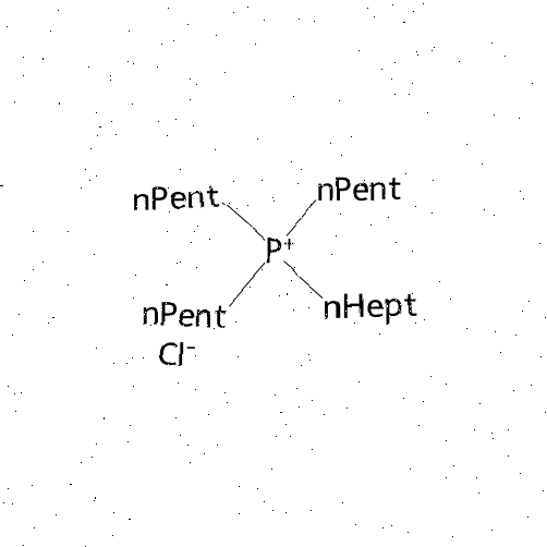 CCCCCCC[P+](CCCCC)(CCCCC)CCCCC.[Cl-]